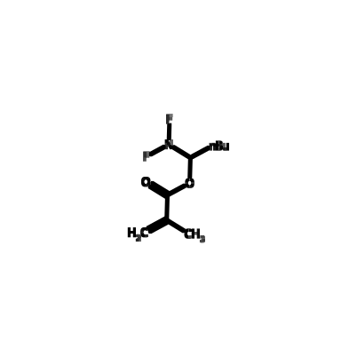 C=C(C)C(=O)OC(CCCC)N(F)F